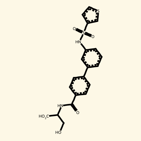 O=C(NC(CO)C(=O)O)c1ccc(-c2cccc(NS(=O)(=O)c3ccsc3)c2)cc1